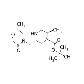 CC1CN(C[C@H]2CN(C(=O)OC(C)(C)C)[C@H](C)CN2)C(=O)CO1